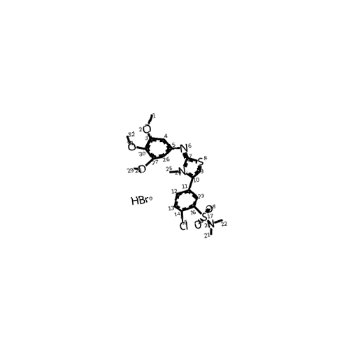 Br.COc1cc(N=c2scc(-c3ccc(Cl)c(S(=O)(=O)N(C)C)c3)n2C)cc(OC)c1OC